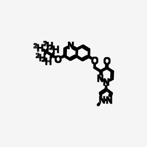 [2H]C([2H])([2H])C([2H])([2H])Oc1cnc2ccc(OCc3nn(-c4cnn(C)c4)ccc3=O)cc2c1